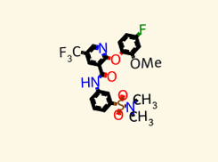 COc1cc(F)ccc1Oc1ncc(C(F)(F)F)cc1C(=O)Nc1cccc(S(=O)(=O)N(C)C)c1